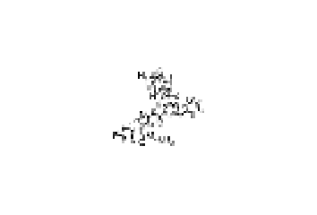 CCOC(=O)C(c1ccc(F)cc1)n1cnc(CC(=O)[C@@H](COCc2ccccc2)NC(=O)C(C)(C)NC(=O)OC(C)(C)C)c1